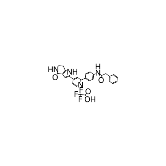 O=C(Cc1ccccc1)Nc1ccc(-c2cc(-c3cc4c([nH]3)CCNC4=O)ccn2)cc1.O=C(O)C(F)(F)F